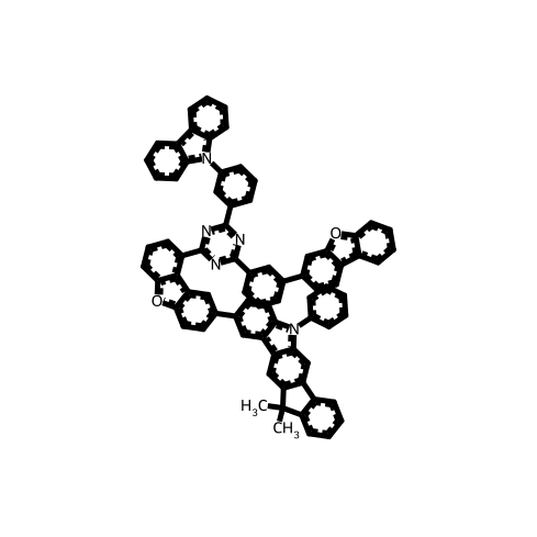 CC1(C)c2ccccc2-c2cc3c(cc21)c1cc(-c2ccc4oc5cccc(-c6nc(-c7cccc(-c8ccc9c(c8)oc8ccccc89)c7)nc(-c7cccc(-n8c9ccccc9c9ccccc98)c7)n6)c5c4c2)ccc1n3-c1ccccc1